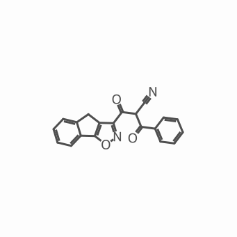 N#CC(C(=O)c1ccccc1)C(=O)c1noc2c1Cc1ccccc1-2